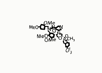 COc1ccc(CN(Cc2ccc(OC)cc2OC)c2nc3cncc(N4CCO[C@@H](C(=O)N5CCc6cc(C(F)(F)F)ccc6[C@@H]5C)C4)c3o2)c(OC)c1